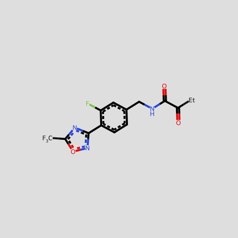 CCC(=O)C(=O)NCc1ccc(-c2noc(C(F)(F)F)n2)c(F)c1